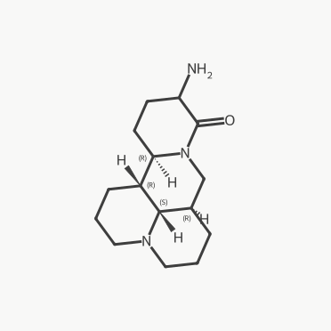 NC1CC[C@@H]2[C@H]3CCCN4CCC[C@H](CN2C1=O)[C@@H]34